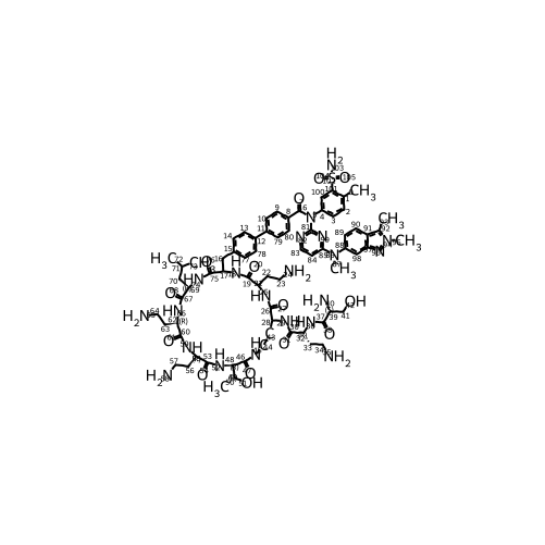 Cc1ccc(N(C(=O)c2ccc(-c3ccc(CC4NC(=O)C(CCN)NC(=O)C(NC(=O)[C@@H](CCN)NC(=O)[C@@H](N)CO)CCNC(=O)[C@@H]([C@@H](C)O)NC(=O)[C@@H](CCN)NC(=O)[C@@H](CCN)NC(=O)[C@@H](CC(C)C)NC4=O)cc3)cc2)c2nccc(N(C)c3ccc4c(C)n(C)nc4c3)n2)cc1S(N)(=O)=O